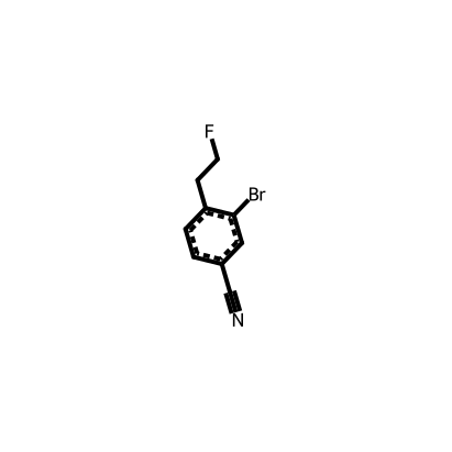 N#Cc1ccc(CCF)c(Br)c1